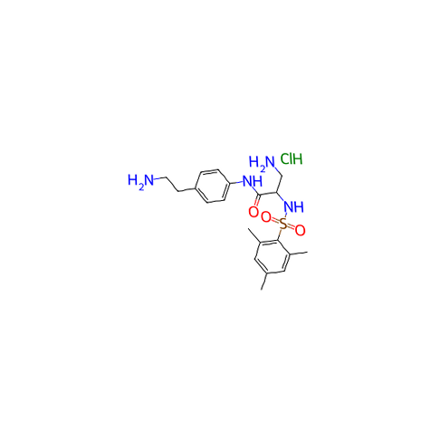 Cc1cc(C)c(S(=O)(=O)NC(CN)C(=O)Nc2ccc(CCN)cc2)c(C)c1.Cl